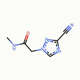 CNC(=O)Cn1cnc(C#N)n1